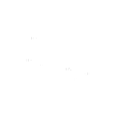 CCCCC(C)Oc1ccc(CNCC(C)O)cc1